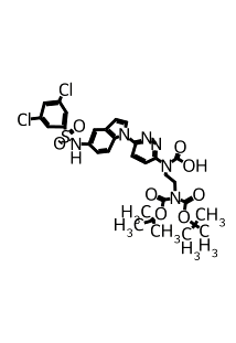 CC(C)(C)OC(=O)N(CCN(C(=O)O)c1ccc(-n2ccc3cc(NS(=O)(=O)c4cc(Cl)cc(Cl)c4)ccc32)nn1)C(=O)OC(C)(C)C